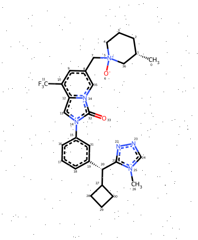 C[C@H]1CCC[N+]([O-])(Cc2cc(C(F)(F)F)c3cn(-c4cccc([C@H](c5nncn5C)C5CCC5)c4)c(=O)n3c2)C1